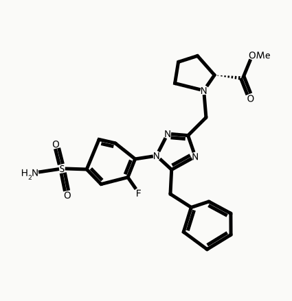 COC(=O)[C@H]1CCCN1Cc1nc(Cc2ccccc2)n(-c2ccc(S(N)(=O)=O)cc2F)n1